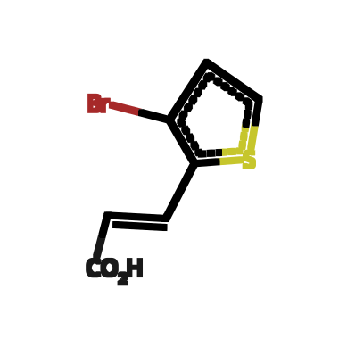 O=C(O)C=Cc1sccc1Br